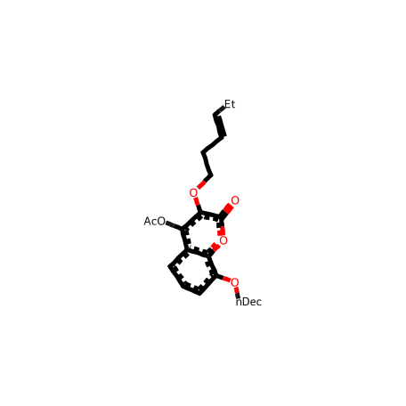 CCC=CCCOc1c(OC(C)=O)c2cccc(OCCCCCCCCCC)c2oc1=O